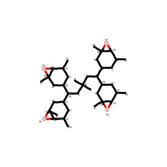 CC1CC(C(CC(C)(C)CC(C2CC(C)C3OC3(C)C2)C2CC(C)C3OC3(C)C2)C2CC(C)C3OC3(C)C2)CC2(C)OC12